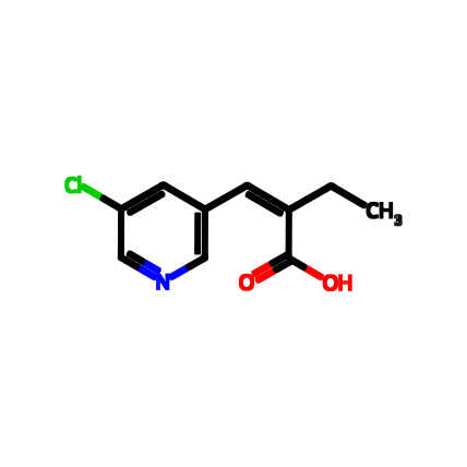 CCC(=Cc1cncc(Cl)c1)C(=O)O